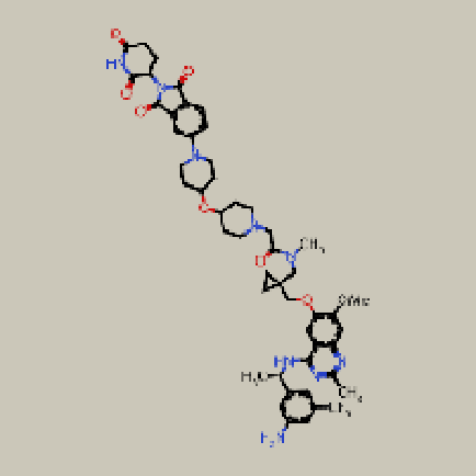 COc1cc2nc(C)nc(N[C@H](C)c3cc(N)cc(C(F)(F)F)c3)c2cc1OCC1(CN(C)C(=O)CN2CCC(OC3CCN(c4ccc5c(c4)C(=O)N(C4CCC(=O)NC4=O)C5=O)CC3)CC2)CC1